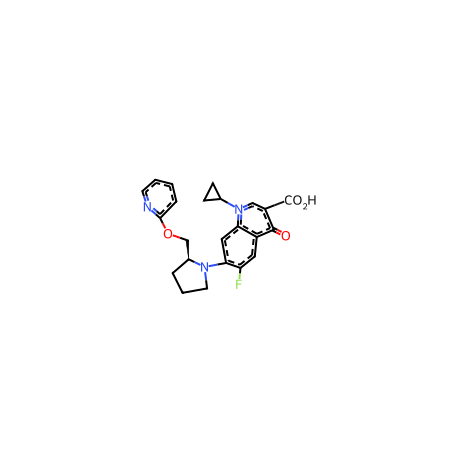 O=C(O)c1cn(C2CC2)c2cc(N3CCC[C@H]3COc3ccccn3)c(F)cc2c1=O